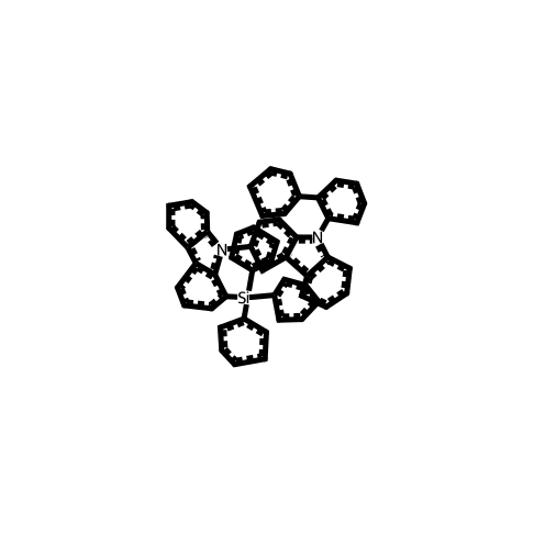 c1ccc(-c2ccccc2-n2c3ccccc3c3cc(-n4c5ccccc5c5cccc([Si](c6ccccc6)(c6ccccc6)c6ccccc6)c54)ccc32)cc1